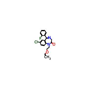 C=COCCN1C(=O)CN=C(c2ccccc2F)c2cc(Cl)ccc21